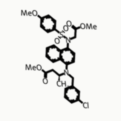 COC(=O)C[C@H](C)N(Cc1cccc(Cl)c1)c1ccc(N(CC(=O)OC)S(=O)(=O)c2ccc(OC)cc2)c2ccccc12